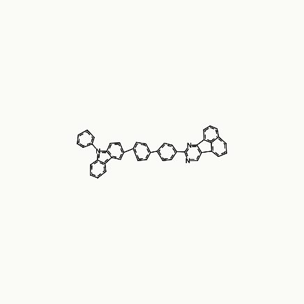 c1ccc(-n2c3ccccc3c3cc(-c4ccc(-c5ccc(-c6ncc7c(n6)-c6cccc8cccc-7c68)cc5)cc4)ccc32)cc1